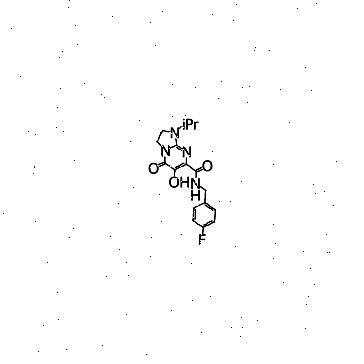 CC(C)N1CCn2c1nc(C(=O)NCc1ccc(F)cc1)c(O)c2=O